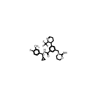 Cc1cc([C@@H](NC(=O)c2cc(CN3CCCOC3=N)cc(C3CCC=NC3C(F)(F)F)c2)C2CC2)ccc1F